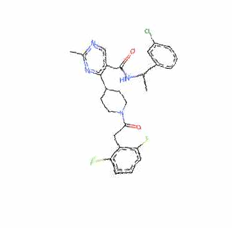 Cc1ncc(C(=O)NC(C)c2cccc(Cl)c2)c(C2CCN(C(=O)Cc3c(F)cccc3F)CC2)n1